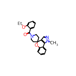 CCOc1ccccc1C(=O)N1CCC2(CC1)Oc1ccccc1-c1c2cnn1C